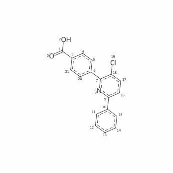 O=C(O)c1ccc(-c2nc(-c3ccccc3)ccc2Cl)cc1